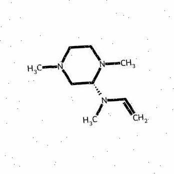 C=CN(C)[C@@H]1CN(C)CCN1C